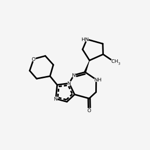 CC1CNC[C@@H]1C1=Nn2c(cnc2C2CCOCC2)C(=O)CN1